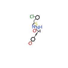 COc1ccc(C#CC2(C(=O)Nc3ncc(Cc4ccccc4Cl)s3)CC2)cc1